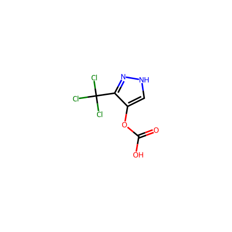 O=C(O)Oc1c[nH]nc1C(Cl)(Cl)Cl